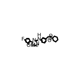 COc1cc(F)ccc1-c1ncnc(Nc2cccc(CS(=O)(=O)C3CCCCC3)c2)n1